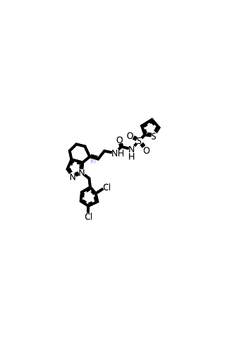 O=C(NC/C=C1\CCCc2cnn(Cc3ccc(Cl)cc3Cl)c21)NS(=O)(=O)c1cccs1